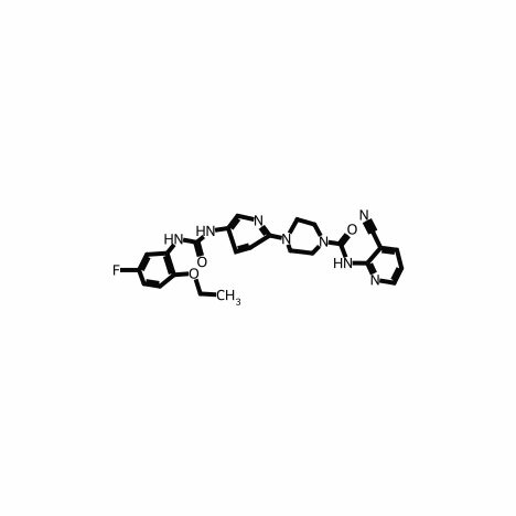 CCOc1ccc(F)cc1NC(=O)Nc1ccc(N2CCN(C(=O)Nc3ncccc3C#N)CC2)nc1